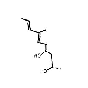 C/C=C/C(C)=C/C[C@@H](O)C[C@H](C)O